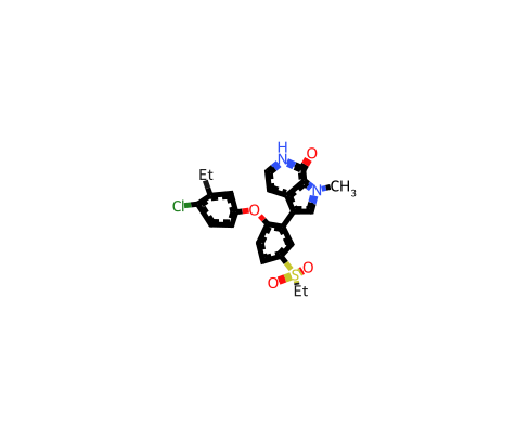 CCc1cc(Oc2ccc(S(=O)(=O)CC)cc2-c2cn(C)c3c(=O)[nH]ccc23)ccc1Cl